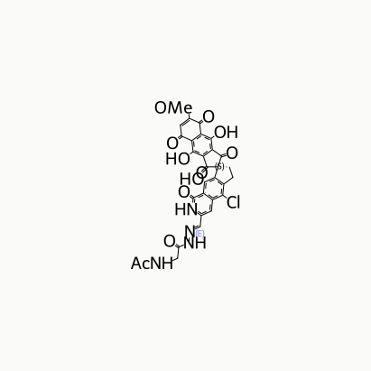 COC1=CC(=O)c2c(O)c3c(c(O)c2C1=O)C(=O)[C@]1(CCc2c1c(O)c1c(=O)[nH]c(/C=N/NC(=O)CNC(C)=O)cc1c2Cl)C3=O